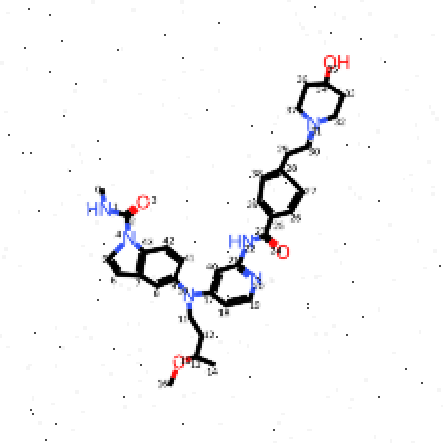 CNC(=O)n1ccc2cc(N(CCC(C)OC)c3ccnc(NC(=O)c4ccc(CCN5CCC(O)CC5)cc4)c3)ccc21